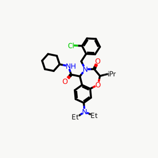 CCN(CC)c1ccc2c(c1)OC(C(C)C)C(=O)N(Cc1ccccc1Cl)C2C(=O)NC1CCCCC1